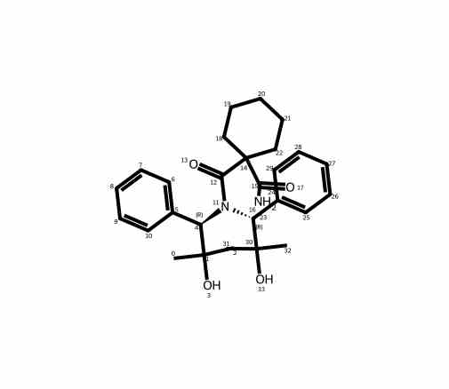 CC(C)(O)[C@@H](c1ccccc1)N(C(=O)C1(C(N)=O)CCCCC1)[C@H](c1ccccc1)C(C)(C)O